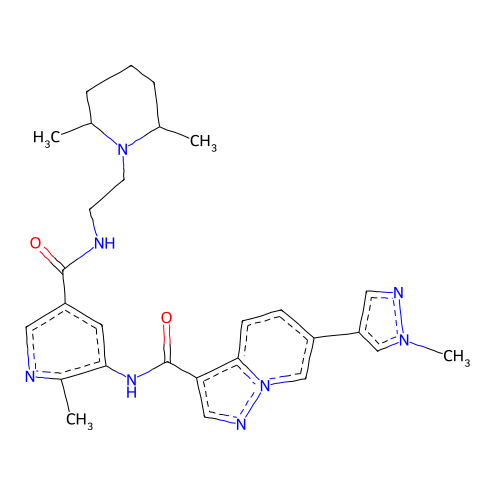 Cc1ncc(C(=O)NCCN2C(C)CCCC2C)cc1NC(=O)c1cnn2cc(-c3cnn(C)c3)ccc12